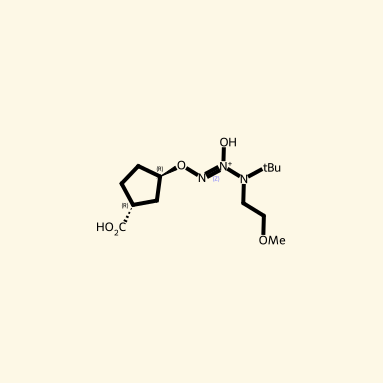 COCCN(/[N+](O)=N/O[C@@H]1CC[C@@H](C(=O)O)C1)C(C)(C)C